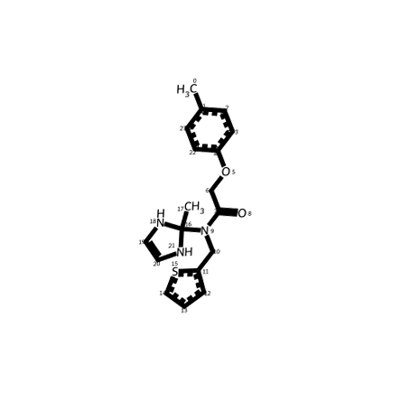 Cc1ccc(OCC(=O)N(Cc2cccs2)C2(C)NC=CN2)cc1